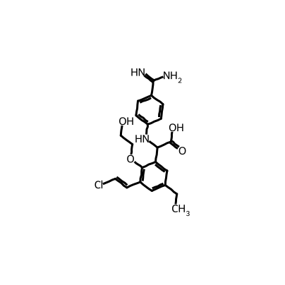 CCc1cc(C=CCl)c(OCCO)c(C(Nc2ccc(C(=N)N)cc2)C(=O)O)c1